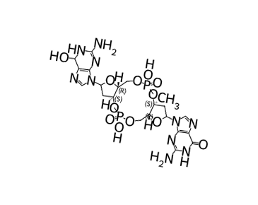 C[C@]12CC(n3cnc4c(=O)[nH]c(N)nc43)O[C@@H]1COP(=O)(O)O[C@H]1CC(n3cnc4c3N=C(N)NC4O)O[C@@H]1COP(=O)(O)O2